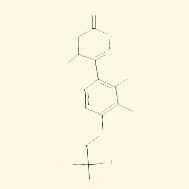 CC1CC(=O)NN=C1c1ccc(OCC(C)(C)O)c(F)c1F